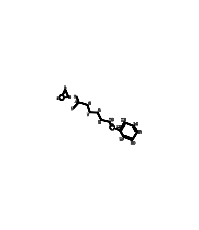 C1CO1.CC(C)CCCCCOc1ccccc1